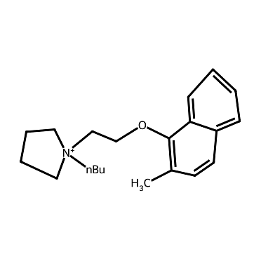 CCCC[N+]1(CCOc2c(C)ccc3ccccc23)CCCC1